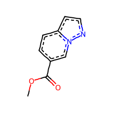 COC(=O)c1ccc2ccnn2c1